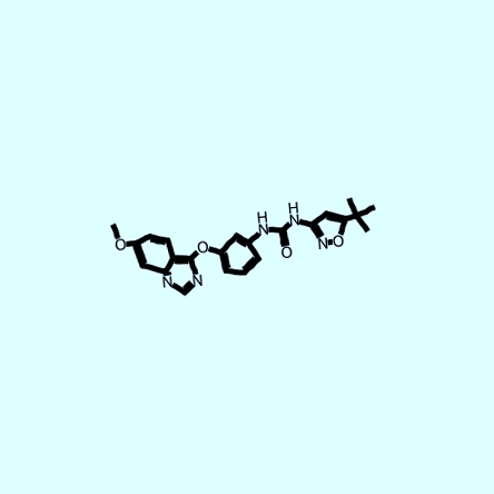 COc1ccc2c(Oc3cccc(NC(=O)Nc4cc(C(C)(C)C)on4)c3)ncnc2c1